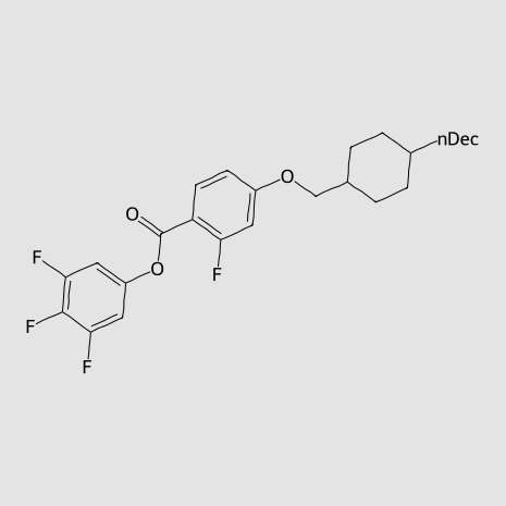 CCCCCCCCCCC1CCC(COc2ccc(C(=O)Oc3cc(F)c(F)c(F)c3)c(F)c2)CC1